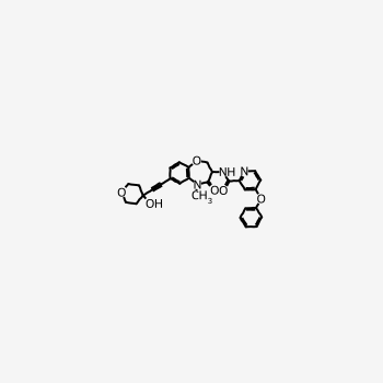 CN1C(=O)C(NC(=O)c2cc(Oc3ccccc3)ccn2)COc2ccc(C#CC3(O)CCOCC3)cc21